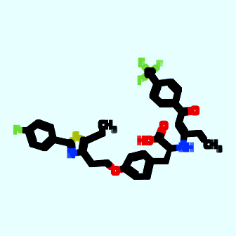 CC/C(=C\C(=O)c1ccc(C(F)(F)F)cc1)N[C@@H](Cc1ccc(OCCc2nc(-c3ccc(F)cc3)sc2CC)cc1)C(=O)O